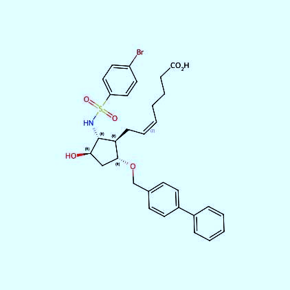 O=C(O)CCC/C=C\C[C@@H]1[C@@H](NS(=O)(=O)c2ccc(Br)cc2)[C@H](O)C[C@H]1OCc1ccc(-c2ccccc2)cc1